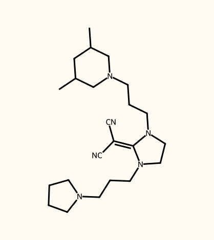 CC1CC(C)CN(CCCN2CCN(CCCN3CCCC3)C2=C(C#N)C#N)C1